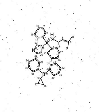 CC(C)=CC[SiH2]C(c1ccccc1)(c1ccccc1)n1ccnc1.c1ccc(B(c2ccccc2)C2CC2)cc1